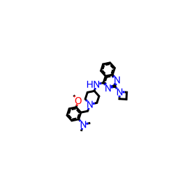 COc1cccc(N(C)C)c1CN1CCC(Nc2nc(N3CCC3)nc3ccccc23)CC1